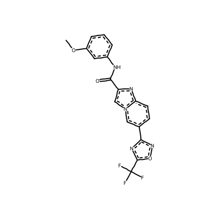 COc1cccc(NC(=O)c2cn3cc(-c4noc(C(F)(F)F)n4)ccc3n2)c1